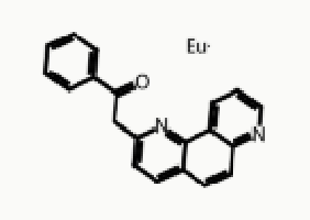 O=C(Cc1ccc2ccc3ncccc3c2n1)c1ccccc1.[Eu]